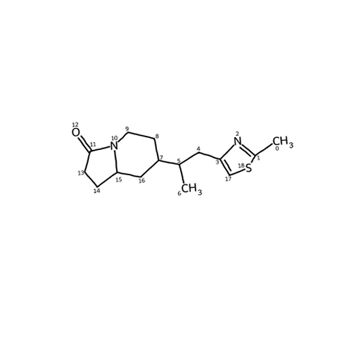 Cc1nc(CC(C)C2CCN3C(=O)CCC3C2)cs1